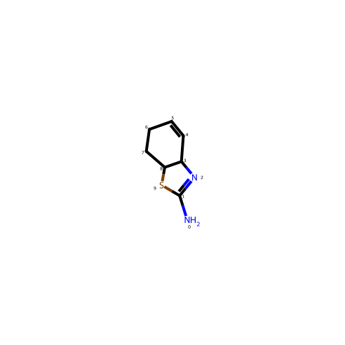 NC1=NC2C=CCCC2S1